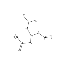 C=CCC(CC(=C)N)CC(C)C